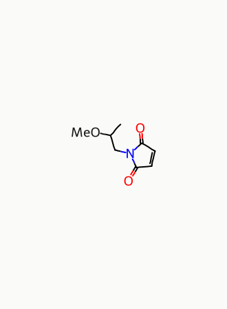 COC(C)CN1C(=O)C=CC1=O